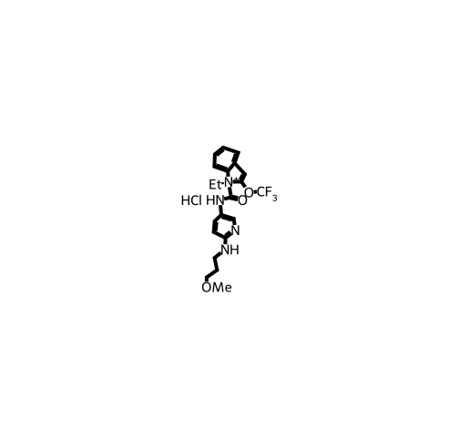 CC[N@@+]1(C(=O)Nc2ccc(NCCCOC)nc2)C(OC(F)(F)F)=Cc2ccccc21.Cl